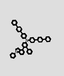 C1=CCCC(C2=CC=C(C3=CC=C(N(c4ccc(C5=CCC(c6ccccc6)C=C5)cc4)c4ccc(-c5cccc6c5ccn6-c5ccccc5)c(-c5ccccc5)c4)CC3)CC2)=C1